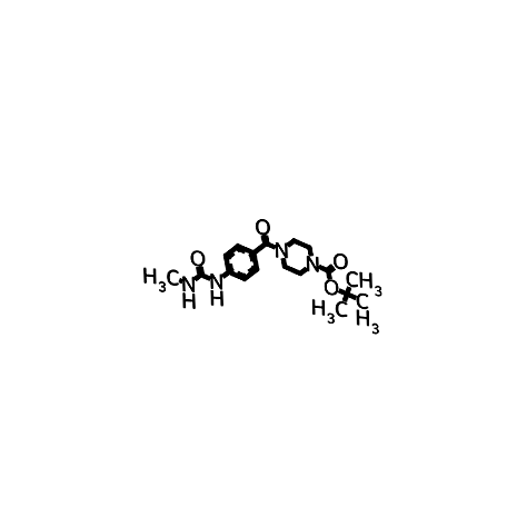 CNC(=O)Nc1ccc(C(=O)N2CCN(C(=O)OC(C)(C)C)CC2)cc1